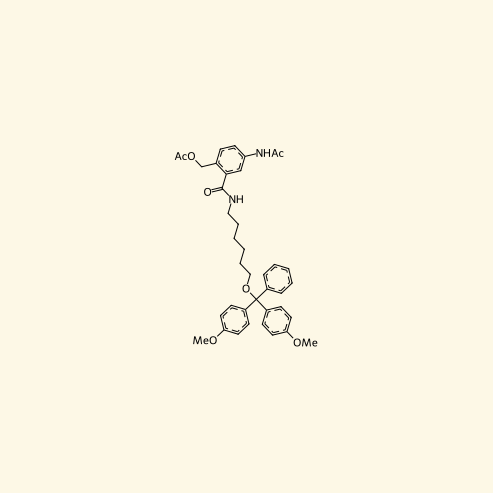 COc1ccc(C(OCCCCCCNC(=O)c2cc(NC(C)=O)ccc2COC(C)=O)(c2ccccc2)c2ccc(OC)cc2)cc1